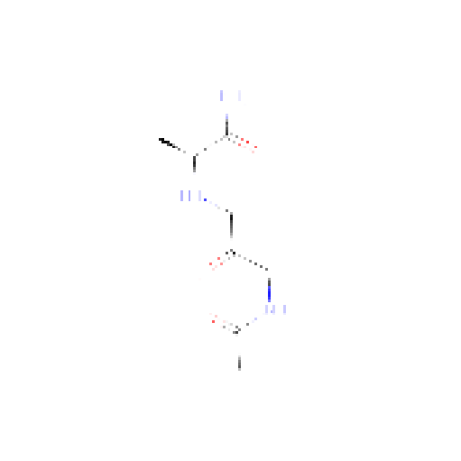 CC(=O)N[C@@H](C)C(=O)CN[C@@H](C)C(N)=O